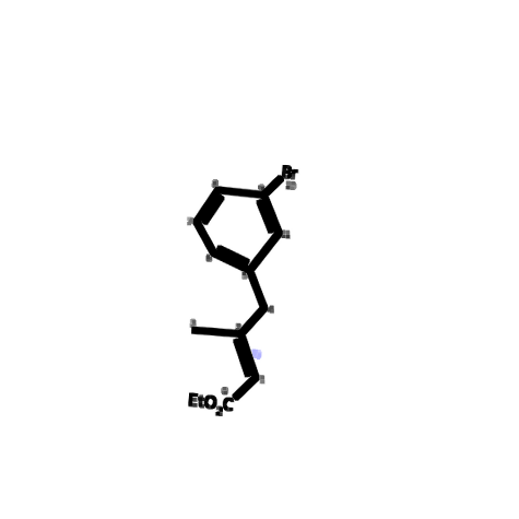 CCOC(=O)/C=C(\C)Cc1cccc(Br)c1